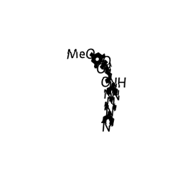 COc1cc(C)c(S(=O)(=O)N(C)CCC(=O)Nc2cnc(N3CCN(c4ccncc4)CC3)nc2)c(C)c1